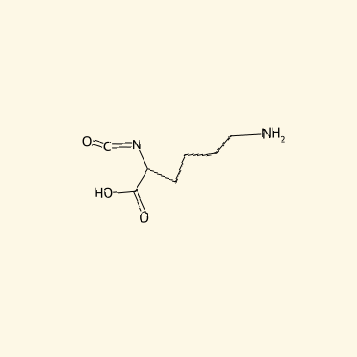 NCCCCC(N=C=O)C(=O)O